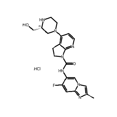 Cc1cn2cc(NC(=O)N3CCc4c(N5CCN[C@@H](CO)C5)ccnc43)c(F)cc2n1.Cl